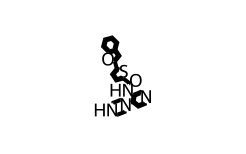 O=C(Nc1cnccc1N1CCNCC1)c1ccc(-c2cc3ccccc3o2)s1